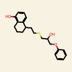 Oc1cccc2c1CCCC2CCSCC(O)COc1ccccc1